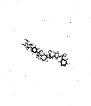 CCN(CC)S(=O)(=O)c1ccc(S(=O)(=O)N2CCC[C@@H](C(=O)N[C@@H]3CCN(C(=O)c4ccccc4)C3)C2)cc1